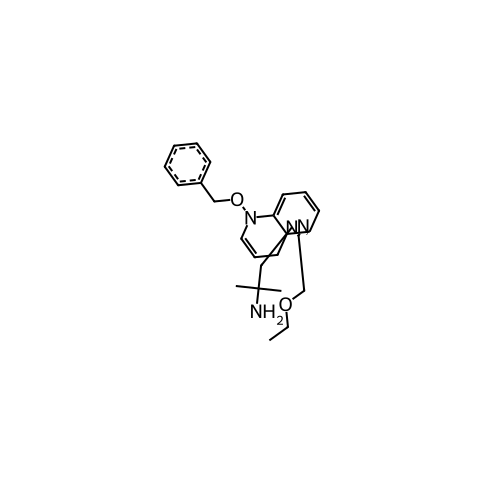 CCOCC1N=C2C=CC=C3N(OCc4ccccc4)C=CCC32N1CC(C)(C)N